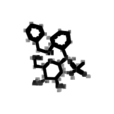 CC(=O)OC[C@H]1O[C@@H](Sc2ccccc2NCc2ccccc2)[C@H](OS(C)(=O)=O)[C@@H](OC(C)=O)[C@@H]1OC(C)=O